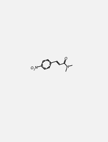 CN(C)C(=O)/C=C/c1ccc([N+](=O)[O-])cc1